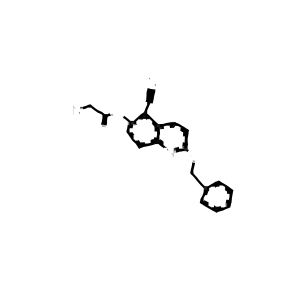 N#Cc1c(OC(=O)CN)ccc2nc(OCc3ccccc3)ccc12